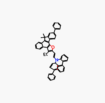 CCc1c(/C=C/N(c2ccccc2-c2ccccc2)C2C=CC(c3ccccc3)=CC2)oc2c3c(c4ccccc4c12)C(C)(C)c1cc(-c2ccccc2)ccc1-3